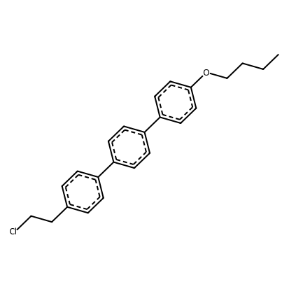 CCCCOc1ccc(-c2ccc(-c3ccc(CCCl)cc3)cc2)cc1